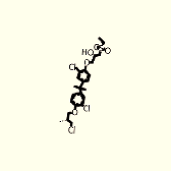 CCS(=O)(=O)C[C@@H](O)COc1ccc(C(C)(C)c2ccc(OC[C@@H](C)CCl)c(Cl)c2)cc1Cl